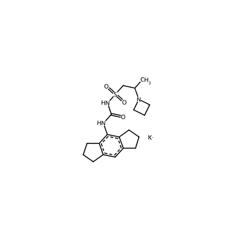 CC(CS(=O)(=O)NC(=O)Nc1c2c(cc3c1CCC3)CCC2)N1CCC1.[K]